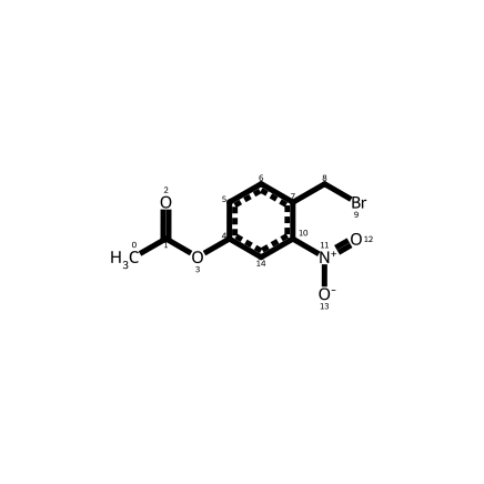 CC(=O)Oc1ccc(CBr)c([N+](=O)[O-])c1